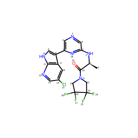 C[C@H](Nc1cncc(-c2c[nH]c3ncc(Cl)cc23)n1)C(=O)N1CC(F)(F)C(F)(F)C1